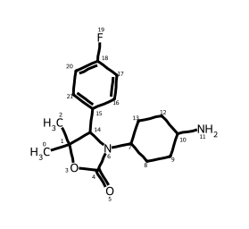 CC1(C)OC(=O)N(C2CCC(N)CC2)C1c1ccc(F)cc1